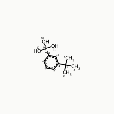 CC(C)(C)c1[c]ccc([PH](O)(O)O)c1